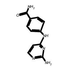 NC(=O)c1ccc(Nc2ccnc(N)n2)cc1